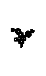 O=C(C(Sc1ccc(Br)cc1)=C(I)c1ccc(F)cc1Cl)c1ccc(Br)cc1